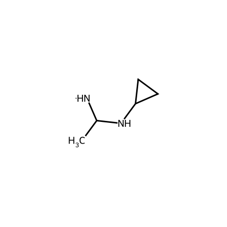 CC([NH])NC1CC1